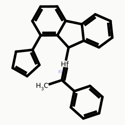 C/[C](=[Hf]\[CH]1c2ccccc2-c2cccc(C3=CC=CC3)c21)c1ccccc1